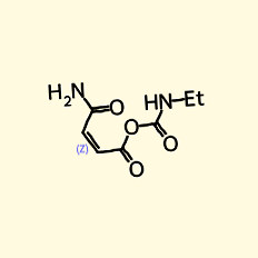 CCNC(=O)OC(=O)/C=C\C(N)=O